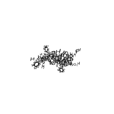 C#CCCCO[C@@H]1OC(COS(=O)(=O)O)[C@@H](O[C@@H]2OC[C@@H](O[C@@H]3OC(COS(=O)(=O)O)[C@@H](O[C@@H]4OC[C@@H](O[C@@H]5OC(COS(=O)(=O)O)[C@@H](O[C@@H]6OC[C@@H](C)[C@@H](OCc7ccccc7)C6O)[C@H](C)C5N)[C@@H](OCc5ccccc5)C4O)[C@H](C)C3N)[C@@H](OCc3ccccc3)C2O)[C@H](C)C1N